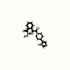 CC(C)n1nc(C(=O)N2CCC(c3cnc[nH]3)CC2)c2ccccc2c1=O